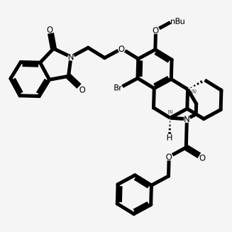 CCCCOc1cc2c(c(Br)c1OCCN1C(=O)c3ccccc3C1=O)C[C@H]1C3CCCC[C@@]23CCN1C(=O)OCc1ccccc1